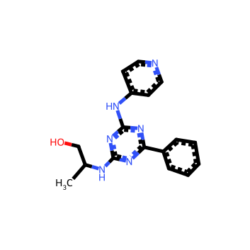 CC(CO)Nc1nc(Nc2ccncc2)nc(-c2ccccc2)n1